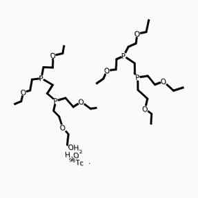 CCOCCP(CCOCC)CCP(CCOCC)CCOCC.CCOCCP(CCOCC)CCP(CCOCC)CCOCC.O.O.[98Tc]